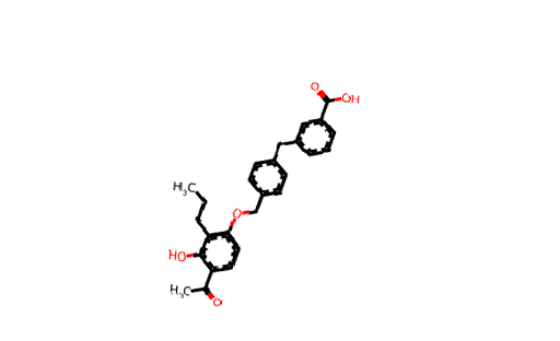 CCCc1c(OCc2ccc(Cc3cccc(C(=O)O)c3)cc2)ccc(C(C)=O)c1O